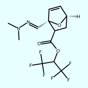 CN(C)/N=C/[C@@]12C=C[C@@H](CC1C(=O)OC(C(F)(F)F)C(F)(F)F)O2